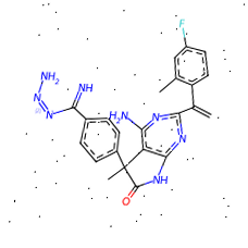 C=C(c1nc(N)c2c(n1)NC(=O)C2(C)c1ccc(C(=N)/N=N\N)cc1)c1ccc(F)cc1C